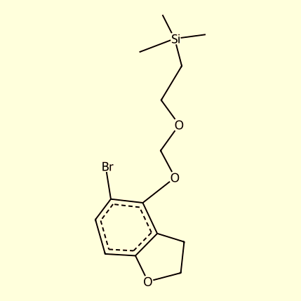 C[Si](C)(C)CCOCOc1c(Br)ccc2c1CCO2